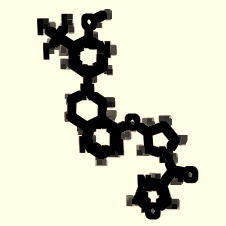 COc1ncc(N2CCc3ncnc(OC4CCN(C(=O)c5cocn5)C4)c3C2)cc1C(F)(F)F